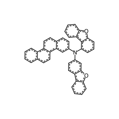 c1ccc2c(c1)ccc1c3cc(N(c4ccc5c(c4)oc4ccccc45)c4cccc5oc6ccccc6c45)ccc3ccc21